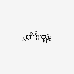 CC(C)(C)c1ccc(C(S)CC(=O)NCc2cc(F)c(NS(C)(=O)=O)c(F)c2)cc1